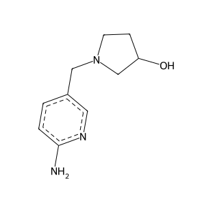 Nc1ccc(CN2CCC(O)C2)cn1